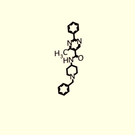 Cc1nc(-c2ccccc2)ncc1C(=O)NC1CCN(Cc2ccccc2)CC1